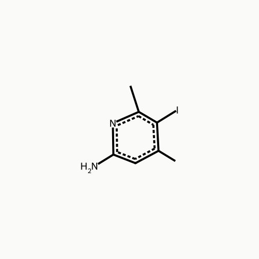 Cc1cc(N)nc(C)c1I